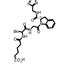 CCC(C)C(NC(=O)CCCCC(=O)O)C(=O)NCC(=O)N1c2ccccc2C[C@H]1C(=O)NCc1nn[nH]n1